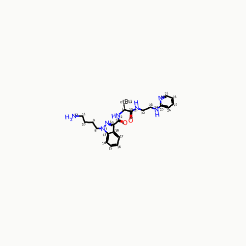 CC(C)(C)[C@H](NC(=O)c1nn(CCCCN)c2ccccc12)C(=O)NCCNc1ccccn1